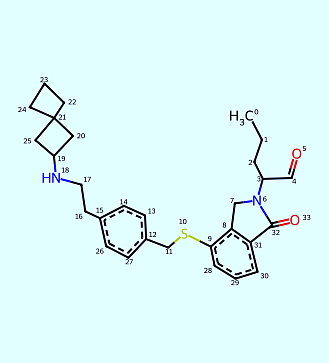 CCCC(C=O)N1Cc2c(SCc3ccc(CCNC4CC5(CCC5)C4)cc3)cccc2C1=O